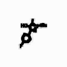 Cc1c(O)c(-c2ccc(F)cc2)nn1C(C)(C)C